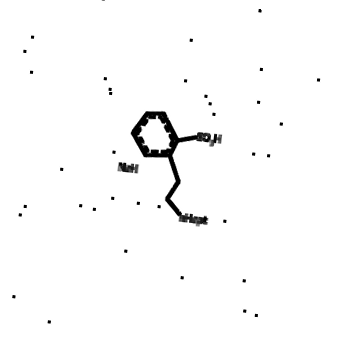 CCCCCCCCCc1ccccc1S(=O)(=O)O.[NaH]